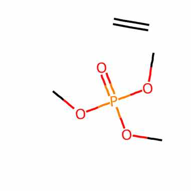 C=C.COP(=O)(OC)OC